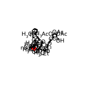 CCCCOC(=O)C(C)(CC(C)(CCC)C(=O)O)CC(C)(CBC(C)(CC(C)(CBC(C)(CC)C(=O)OCCOCCO[C@@H]1O[C@H](CO)[C@H](OC(C)=O)[C@H](OC(C)=O)[C@H]1OC(C)=O)C(=O)NCC(C)O)C(=O)OCCSSc1ccccn1)C(=O)OCCN(C)C